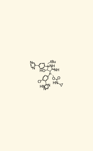 CC(C)(C)C[C@]1(c2ccc(-c3cnccn3)cc2)NC(=N)C([C@H](COC(=O)NC2CC2)c2ccc(Cl)c(-c3ncn[nH]3)c2)C1O